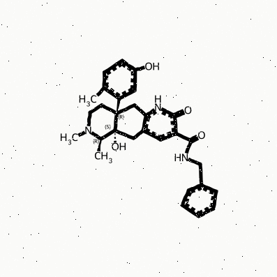 Cc1ccc(O)cc1[C@]12CCN(C)[C@H](C)[C@]1(O)Cc1cc(C(=O)NCc3ccccc3)c(=O)[nH]c1C2